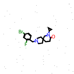 O=C1CCC2(CCN(Cc3ccc(Br)cc3F)CC2)CN1C1CC1